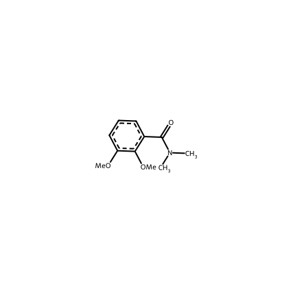 COc1cccc(C(=O)N(C)C)c1OC